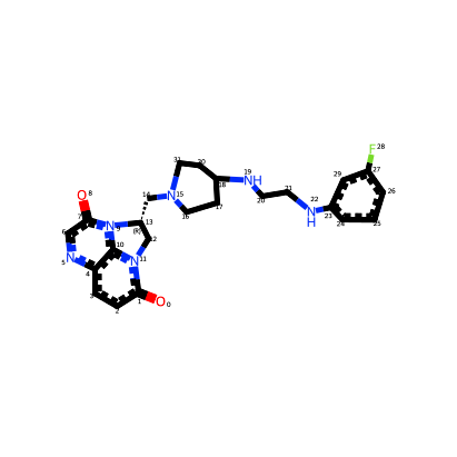 O=c1ccc2ncc(=O)n3c2n1C[C@H]3CN1CCC(NCCNc2cccc(F)c2)CC1